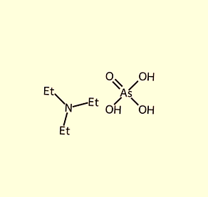 CCN(CC)CC.O=[As](O)(O)O